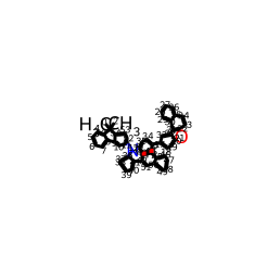 CC1(C)c2ccccc2-c2cc(N(c3ccc(-c4ccc5oc6ccc7ccccc7c6c5c4)cc3)c3ccccc3-c3ccc4ccccc4c3)ccc21